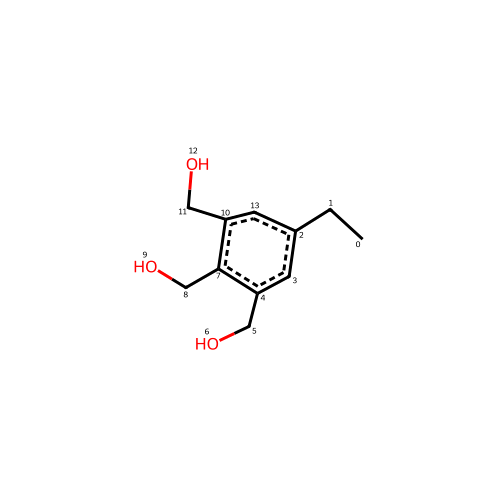 CCc1cc(CO)c(CO)c(CO)c1